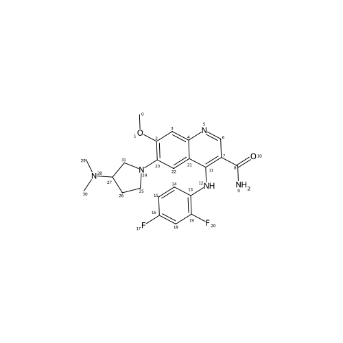 COc1cc2ncc(C(N)=O)c(Nc3ccc(F)cc3F)c2cc1N1CCC(N(C)C)C1